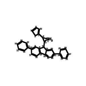 C1=CCC(C2[SiH2]C2C2c3cc(-c4ccccc4)ccc3-c3ccc(-c4ccccc4)cc32)=C1